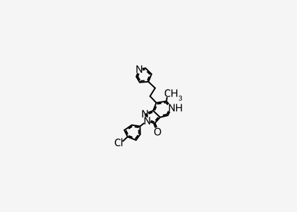 Cc1[nH]cc2c(=O)n(-c3ccc(Cl)cc3)nc-2c1CCc1ccncc1